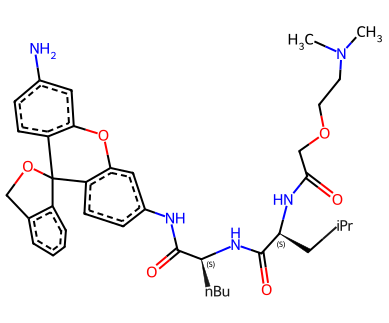 CCCC[C@H](NC(=O)[C@H](CC(C)C)NC(=O)COCCN(C)C)C(=O)Nc1ccc2c(c1)Oc1cc(N)ccc1C21OCc2ccccc21